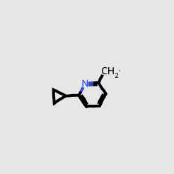 [CH2]c1cccc(C2CC2)n1